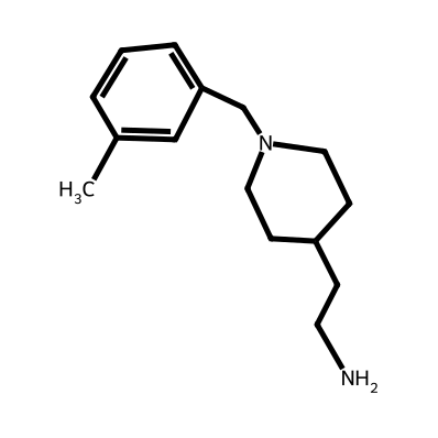 Cc1cccc(CN2CCC(CCN)CC2)c1